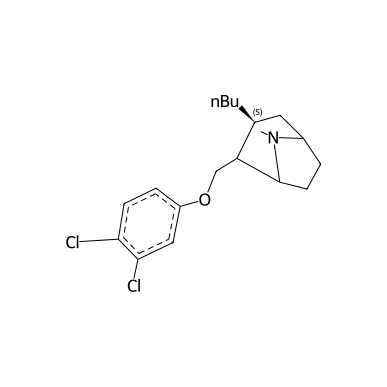 CCCC[C@H]1CC2CCC(C1COc1ccc(Cl)c(Cl)c1)N2C